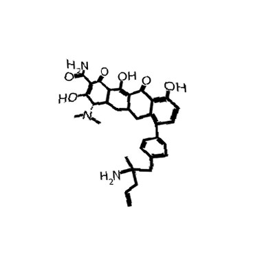 C=CCC(C)(N)Cc1ccc(-c2ccc(O)c3c2CC2CC4C(C(=O)C(C(N)=O)=C(O)[C@H]4N(C)C)C(O)=C2C3=O)cc1